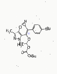 CCn1nc(C)c(Cl)c1/C(OC(C)OC(=O)OCC(C)C)=C(/c1ccc(C(C)(C)C)cc1)C1C=N1